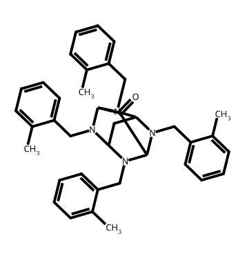 Cc1ccccc1CN1C2CC3N(Cc4ccccc4C)C1C(=O)C(N2Cc1ccccc1C)N3Cc1ccccc1C